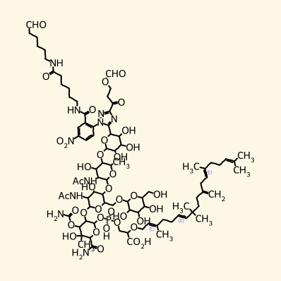 C=C(C/C=C(\C)CCC=C(C)C)CCC(C)(C)/C=C/CC/C(C)=C/COC(COP(=O)(O)OC1OC(C(N)=O)C(C)(O)C(OC(N)=O)C1OC1OC(COC2OC(CO)C(O)C(O)C2O)C(OC2OC(C)C(OC3OC(c4nc(C(=O)CCOC=O)nn4-c4ccc([N+](=O)[O-])cc4C(=O)NCCCCCC(=O)NCCCCCC=O)C(O)C(O)C3O)C(O)C2NC(C)=O)C(O)C1NC(C)=O)C(=O)O